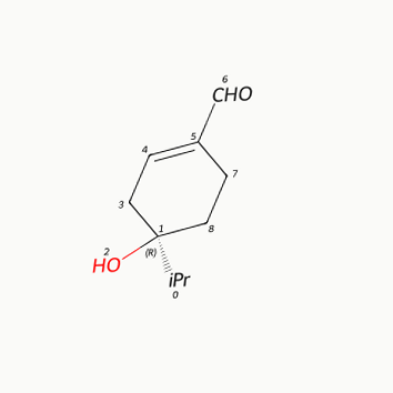 CC(C)[C@]1(O)CC=C(C=O)CC1